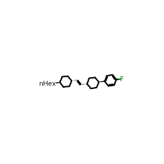 CCCCCC[C@H]1CC[C@H](/C=C/[C@H]2CC[C@H](c3ccc(F)cc3)CC2)CC1